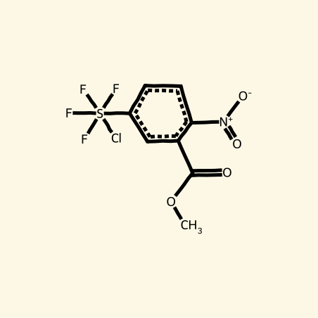 COC(=O)c1cc(S(F)(F)(F)(F)Cl)ccc1[N+](=O)[O-]